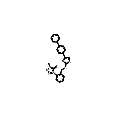 Cn1nnn(-c2ccccc2COc2nc(-c3ccc(-c4ccccc4)cc3)cs2)c1=O